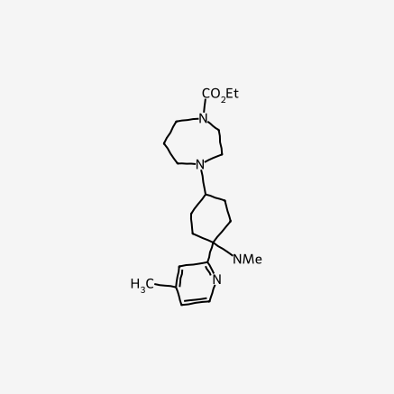 CCOC(=O)N1CCCN(C2CCC(NC)(c3cc(C)ccn3)CC2)CC1